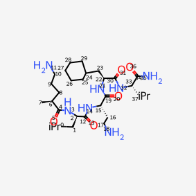 CC(C)C[C@@H](NC(=O)[C@@H](C)CCCN)C(=O)N[C@@H](CCN)C(=O)N[C@@H](CC1CCCCC1)C(=O)N[C@H](C(N)=O)C(C)C